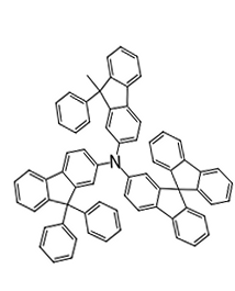 CC1(c2ccccc2)c2ccccc2-c2ccc(N(c3ccc4c(c3)C(c3ccccc3)(c3ccccc3)c3ccccc3-4)c3ccc4c(c3)C3(c5ccccc5-c5ccccc53)c3ccccc3-4)cc21